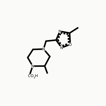 Cc1nc(CN2CCN(C(=O)O)C(C)C2)no1